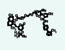 Cc1ncsc1-c1ccc(CNC(=O)[C@@H]2C[C@@H](O)CN2C(=O)[C@@H](NC(=O)COCCOCCNC(=O)O[C@H]2C[C@@H](C)C=C3C=C[C@H](C)[C@H](CC[C@@H]4C[C@@H](O[Si](C)(C)C(C)(C)C)CC(=O)O4)[C@H]32)C(C)(C)C)cc1